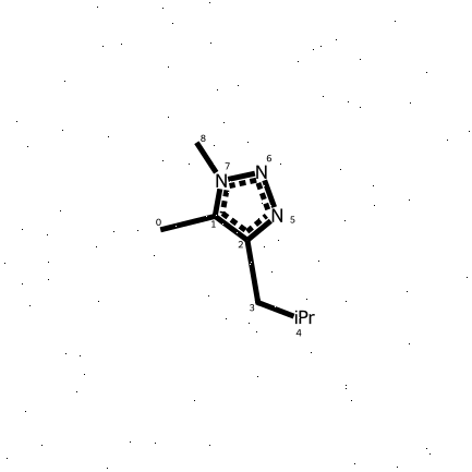 Cc1c(CC(C)C)nnn1C